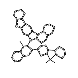 Cc1c(-n2c3cc4oc5ccccc5c4cc3c3c4ccccc4ccc32)c(-c2ccc3c(c2)C(C)(C)c2ccccc2-3)cc2ccccc12